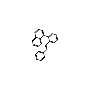 C(=Cc1ccccc1-c1cccc2ccccc12)c1ccccc1